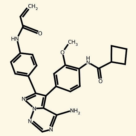 C=CC(=O)Nc1ccc(-c2nn3ncnc(N)c3c2-c2ccc(NC(=O)C3CCC3)c(OC)c2)cc1